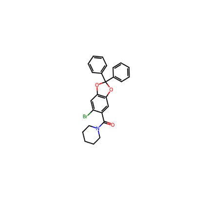 O=C(c1cc2c(cc1Br)OC(c1ccccc1)(c1ccccc1)O2)N1CCCCC1